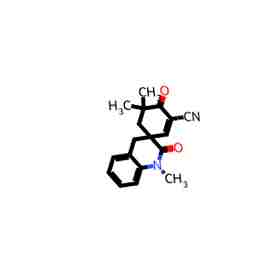 CN1C(=O)C2(C=C(C#N)C(=O)C(C)(C)C2)Cc2ccccc21